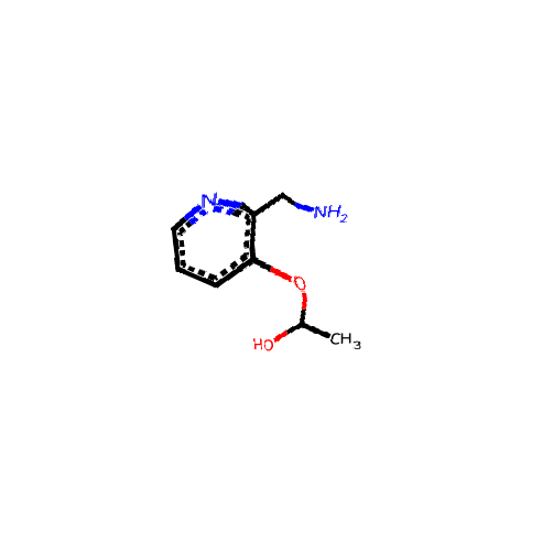 CC(O)Oc1cccnc1CN